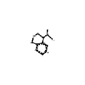 CC(I)C1COCc2ccccc21